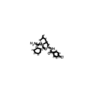 CC(C)CC(C=NNC(=O)c1ccc(Cl)cc1)NC(=O)[C@@H]1CCCC[C@@H]1C(N)=O